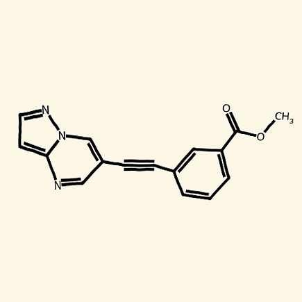 COC(=O)c1cccc(C#Cc2cnc3ccnn3c2)c1